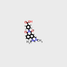 CN1Cc2cc3c4c(cccc4c2N(C)C1)C(=O)N(c1ccc(C(=O)O)cc1)C3=O